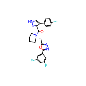 O=C(c1n[nH]cc1-c1ccc(F)cc1)N1CCCC[C@H]1Cc1nnc(-c2cc(F)cc(F)c2)o1